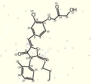 CCC/N=C1/S/C(=C\c2ccc(OCC(=O)CO)c(Cl)c2)C(=O)N1c1ccccc1C